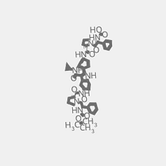 CC(C)(C)OC(=O)N[C@@H](C(=O)N1CCC[C@H]1C(=O)Nc1ccc2[nH]c(-c3ccc(NC(=O)[C@@H]4CCCN4C(=O)[C@H](NC(=O)O)c4ccccc4)cc3)c(C(=O)NC3CC3)c2c1)c1ccccc1